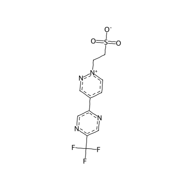 O=S(=O)([O-])CC[n+]1ccc(-c2cnc(C(F)(F)F)cn2)cn1